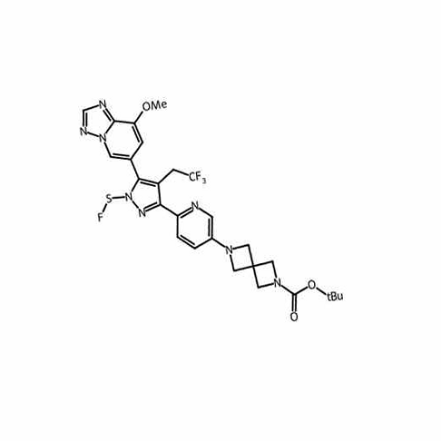 COc1cc(-c2c(CC(F)(F)F)c(-c3ccc(N4CC5(CN(C(=O)OC(C)(C)C)C5)C4)cn3)nn2SF)cn2ncnc12